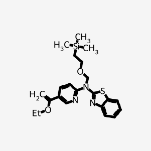 C=C(OCC)c1ccc(N(COCC[Si](C)(C)C)c2nc3ccccc3s2)nc1